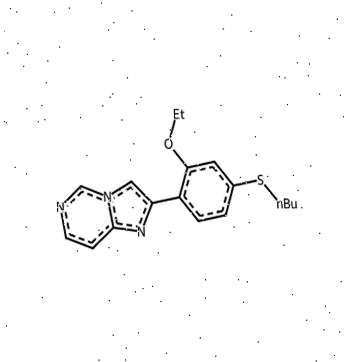 CCCCSc1ccc(-c2cn3cnccc3n2)c(OCC)c1